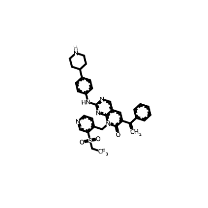 C=C(c1ccccc1)c1cc2cnc(Nc3ccc(C4CCNCC4)cc3)nc2n(Cc2ccncc2S(=O)(=O)CC(F)(F)F)c1=O